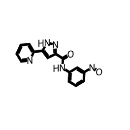 O=Nc1cccc(NC(=O)c2cc(-c3ccccn3)[nH]n2)c1